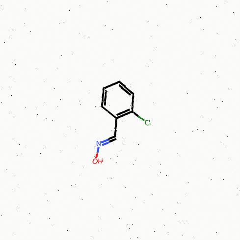 ON=Cc1[c]cccc1Cl